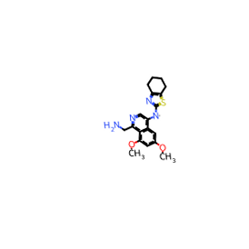 COc1cc(OC)c2c(CN)ncc([N]c3nc4c(s3)CCCC4)c2c1